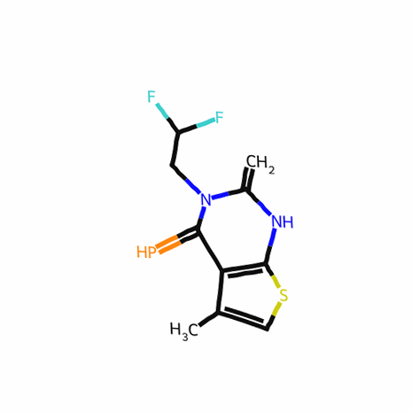 C=C1Nc2scc(C)c2C(=P)N1CC(F)F